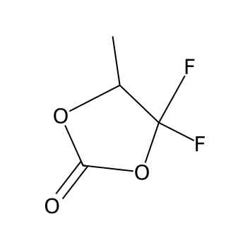 CC1OC(=O)OC1(F)F